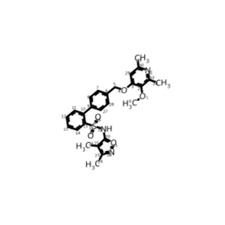 COc1c(OCc2ccc(-c3ccccc3S(=O)(=O)Nc3onc(C)c3C)cc2)cc(C)nc1C